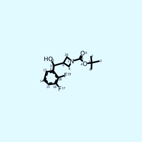 CC(C)(C)OC(=O)N1CC(C(O)c2cccc(F)c2F)C1